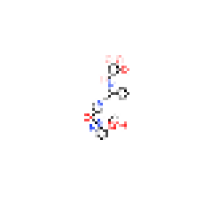 CCC(Cn1c(C(=O)C2CCN(CCC(CN(C)C(=O)c3cc(OC)c(OC)c(OC)c3)c3ccccc3)CC2)nc2ccccc21)OO